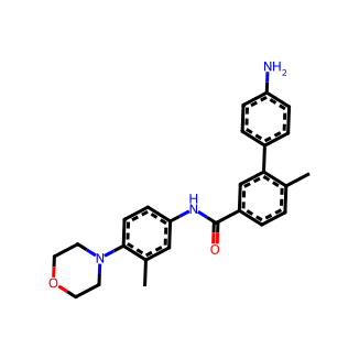 Cc1ccc(C(=O)Nc2ccc(N3CCOCC3)c(C)c2)cc1-c1ccc(N)cc1